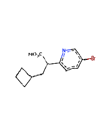 O=C(O)C(CC1CCC1)c1ccc(Br)cn1